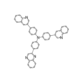 c1ccc2ncc(-c3ccc(N(c4ccc(-c5cnc6ccccc6c5)cc4)c4ccc(-c5cnc6ccccc6n5)cc4)cc3)cc2c1